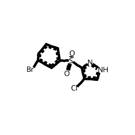 O=S(=O)(c1cccc(Br)c1)c1n[nH]cc1Cl